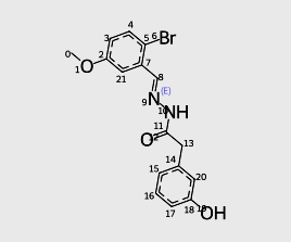 COc1ccc(Br)c(/C=N/NC(=O)Cc2cccc(O)c2)c1